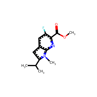 COC(=O)c1nc2c(cc1F)cc(C(C)C)n2C